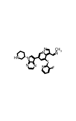 C/N=C\c1cnn2cc(-c3cn([C@H]4CCCNC4)c4nccnc34)cc(Sc3ncccc3F)c12